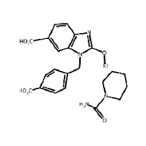 CCOc1nc2ccc(C(=O)O)cc2n1Cc1ccc(C(=O)O)cc1.NC(=O)N1CCCCC1